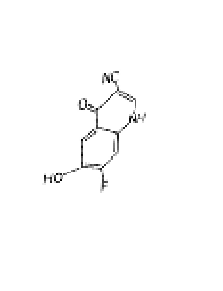 N#Cc1c[nH]c2cc(F)c(O)cc2c1=O